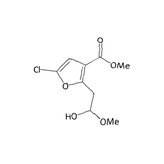 COC(=O)c1cc(Cl)oc1CC(O)OC